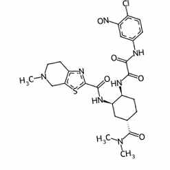 CN1CCc2nc(C(=O)N[C@@H]3C[C@@H](C(=O)N(C)C)CC[C@@H]3NC(=O)C(=O)Nc3ccc(Cl)c(N=O)c3)sc2C1